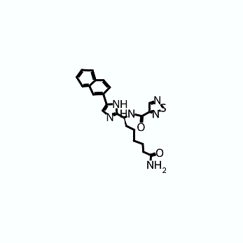 NC(=O)CCCCC[C@H](NC(=O)c1cnsn1)c1ncc(-c2ccc3ccccc3c2)[nH]1